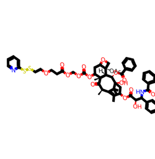 CC(=O)O[C@@]12COC1CC(OC(=O)OCOC(=O)CCOCCSSc1ccccn1)[C@@]1(C)C(=O)[C@H](C)C3=C(C)C(OC(=O)[C@H](O)C(NC(=O)c4ccccc4)c4ccccc4)C[C@@](O)([C@@H](OC(=O)c4ccccc4)[C@H]21)C3(C)C